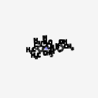 Cc1ccc(CN/C=C2\C(=O)NCc3c(C)c(C)c(C)c(C)c32)nc1O